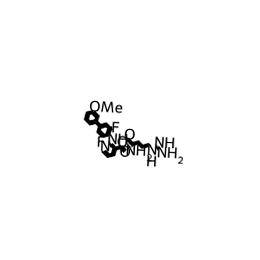 COc1cccc(-c2cc(F)c(Nc3ncccc3C(=O)OC(=O)[C@@H](N)CCCNC(=N)N)c(F)c2)c1